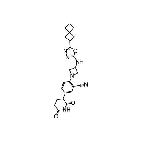 N#Cc1cc(C2CCC(=O)NC2=O)ccc1N1CC(Nc2nnc(C3CC4(CCC4)C3)o2)C1